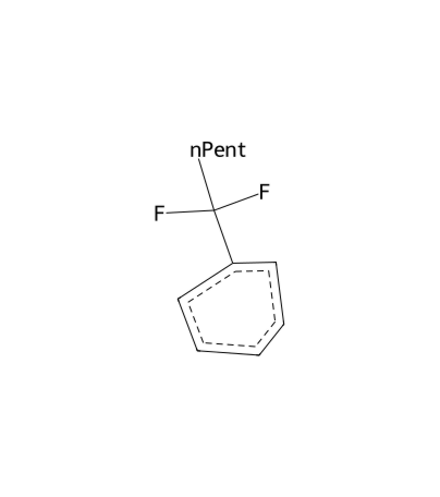 [CH2]CCCCC(F)(F)c1ccccc1